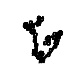 COC(=O)c1cccc(COc2c(-c3ccc(OCCOCCOCCn4cc(CN(Cc5cn(CCOCCOCCOc6ccc(-c7oc8ccccc8c(=O)c7OCc7cccc(C(=O)OC)c7)cc6)nn5)c5ccccc5)nn4)cc3)oc3ccccc3c2=O)c1